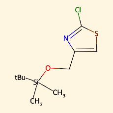 CC(C)(C)[Si](C)(C)OCc1csc(Cl)n1